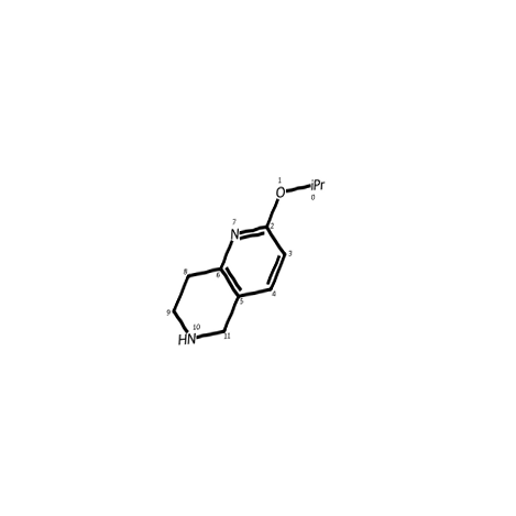 CC(C)Oc1ccc2c(n1)CCNC2